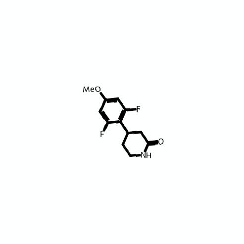 COc1cc(F)c(C2CCNC(=O)C2)c(F)c1